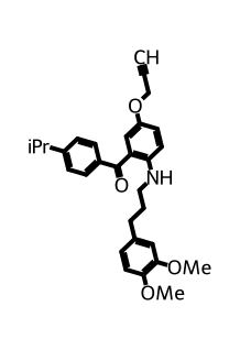 C#CCOc1ccc(NCCCc2ccc(OC)c(OC)c2)c(C(=O)c2ccc(C(C)C)cc2)c1